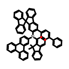 CC1(C)c2ccccc2-c2cccc(N(c3ccc4c5ccccc5c5ccccc5c4c3)c3cc4c(cc3-c3ccc(-c5ccccc5)cc3)-c3ccccc3C43c4ccccc4-c4ccccc43)c21